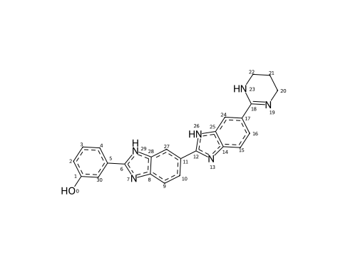 Oc1cccc(-c2nc3ccc(-c4nc5ccc(C6=NCCCN6)cc5[nH]4)cc3[nH]2)c1